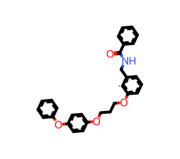 O=C(NCc1[c]c(OCCCOc2ccc(Oc3ccccc3)cc2)ccc1)c1ccccc1